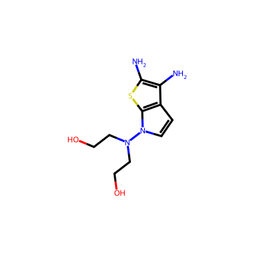 Nc1sc2c(ccn2N(CCO)CCO)c1N